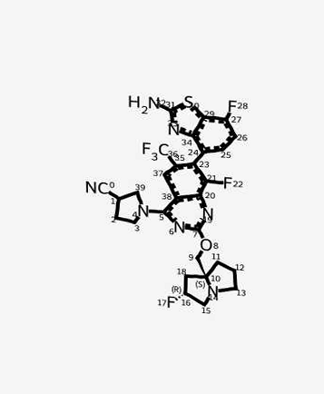 N#CC1CCN(c2nc(OC[C@@]34CCCN3C[C@H](F)C4)nc3c(F)c(-c4ccc(F)c5sc(N)nc45)c(C(F)(F)F)cc23)C1